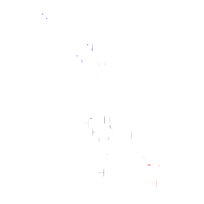 CO[C@@H]1C[C@H]2[C@H](CC[C@@H]3[C@@H]2CC[C@@]2(C)[C@H]3CC[C@@H]2[C@](C)(O)Cn2cc(C#N)cn2)C[C@]1(C)O